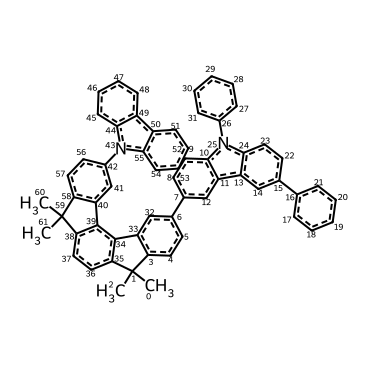 CC1(C)c2ccc(-c3ccc4c(c3)c3cc(-c5ccccc5)ccc3n4-c3ccccc3)cc2-c2c1ccc1c2-c2cc(-n3c4ccccc4c4ccccc43)ccc2C1(C)C